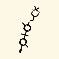 C#Cc1ccc(C(CC)(CC)c2ccc(OCC3COC(C)(C)OC3)c(C)c2)cc1C